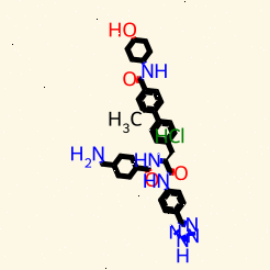 Cc1cc(C(=O)NC2CCC(O)CC2)ccc1-c1ccc(C[C@H](NC(=O)C2CCC(CN)CC2)C(=O)Nc2ccc(-c3nn[nH]n3)cc2)cc1.Cl